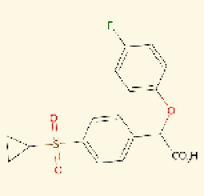 O=C(O)C(Oc1ccc(F)cc1)c1ccc(S(=O)(=O)C2CC2)cc1